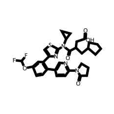 O=C(O)CC(CC1CCCC1)C(=O)N(c1nc(-c2cc(OC(F)F)ccc2-c2ccc(N3CCCC3=O)nc2)cs1)C1CC1